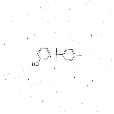 Cc1ccc(C(C)(C)c2cccc(O)c2)cc1